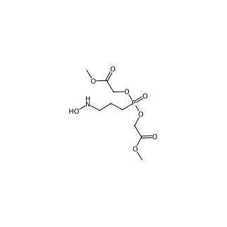 COC(=O)COP(=O)(CCCNO)OCC(=O)OC